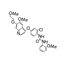 COCCOc1cc2nccc(Oc3ccc(NC(=O)Nc4ccccc4OC)c(Cl)c3)c2cc1OC